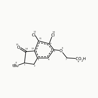 CC(C)(C)C1Cc2cc(OCC(=O)O)c(Cl)c(Cl)c2C1=O